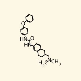 CN(C)CC1CCc2cc(NC(=O)Nc3ccc(Oc4ccccc4)cc3)ccc2C1